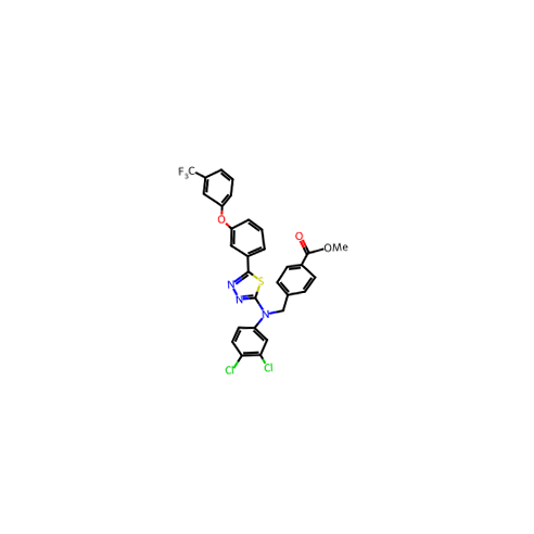 COC(=O)c1ccc(CN(c2ccc(Cl)c(Cl)c2)c2nnc(-c3cccc(Oc4cccc(C(F)(F)F)c4)c3)s2)cc1